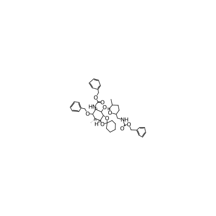 CC1CCC(CNC(=O)OCc2ccccc2)O[C@@H]1OC1C2OC3(CCCCC3)O[C@H]2[C@H](C)C(OCc2ccccc2)[C@@H]1NC(=O)OCc1ccccc1